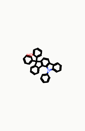 Oc1ccccc1C1(c2ccccc2)c2ccccc2-c2c1ccc1c3ccccc3n(-c3ccccc3)c21